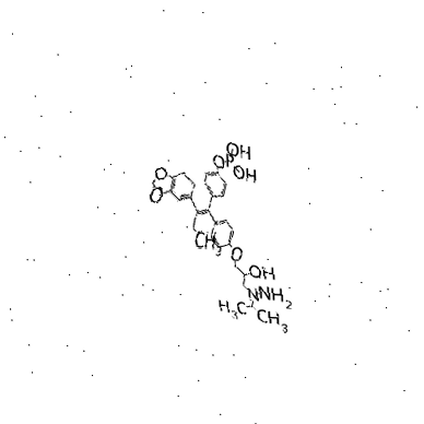 CCC(=C(c1ccc(OCC(O)CN(N)C(C)C)cc1)c1ccc(OP(O)O)cc1)c1ccc2c(c1)OCO2